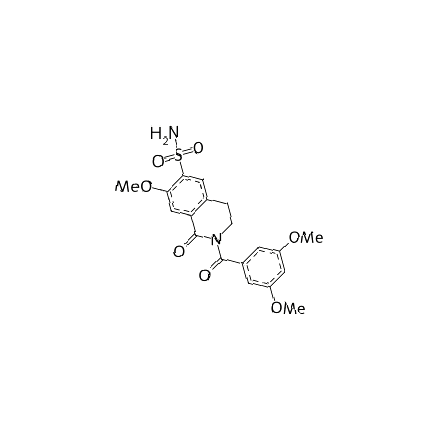 COc1cc(OC)cc(C(=O)N2CCc3cc(S(N)(=O)=O)c(OC)cc3C2=O)c1